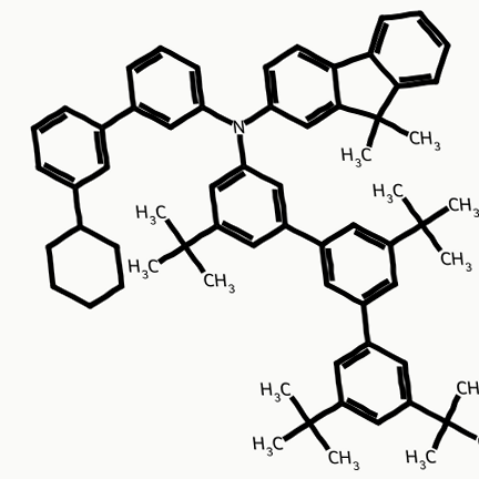 CC(C)(C)c1cc(-c2cc(N(c3cccc(-c4cccc(C5CCCCC5)c4)c3)c3ccc4c(c3)C(C)(C)c3ccccc3-4)cc(C(C)(C)C)c2)cc(-c2cc(C(C)(C)C)cc(C(C)(C)C)c2)c1